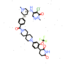 CN1C[C@H](Nc2cnn(C)c(=O)c2Cl)C[C@H](c2ccc(C(=O)N3CCC4(CC3)CCN(c3ccc(C5CCC(=O)NC5=O)c(OC(F)(F)F)c3)CC4)cc2)C1